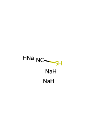 N#CS.[NaH].[NaH].[NaH]